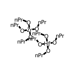 CCC[O][Hf]([O]CCC)([O]CCC)[O]CCC.CCC[O][Zr]([O]CCC)([O]CCC)[O]CCC